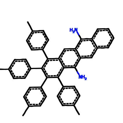 Cc1ccc(-c2c(-c3ccc(C)cc3)c(-c3ccc(C)cc3)c3c(N)c4cc5ccccc5c(N)c4cc3c2-c2ccc(C)cc2)cc1